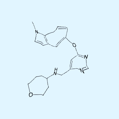 Cn1ccc2cc(Oc3cc(CNC4CCOCC4)ncn3)ccc21